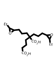 CCC1OC1CCCC(CCCC(=O)O)(CCCC1OC1CC)C(=O)O